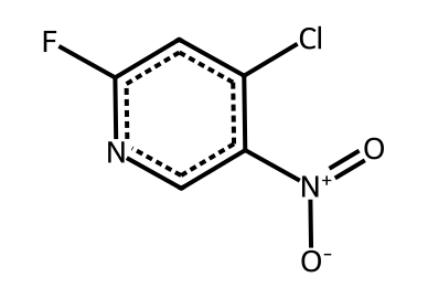 O=[N+]([O-])c1cnc(F)cc1Cl